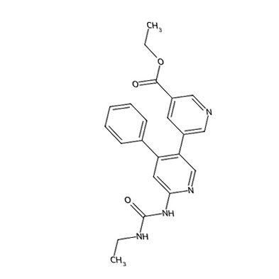 CCNC(=O)Nc1cc(-c2ccccc2)c(-c2cncc(C(=O)OCC)c2)cn1